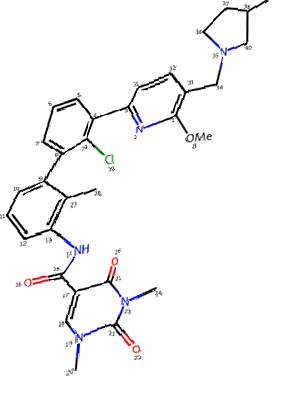 COc1nc(-c2cccc(-c3cccc(NC(=O)c4cn(C)c(=O)n(C)c4=O)c3C)c2Cl)ccc1CN1CCC(C)C1